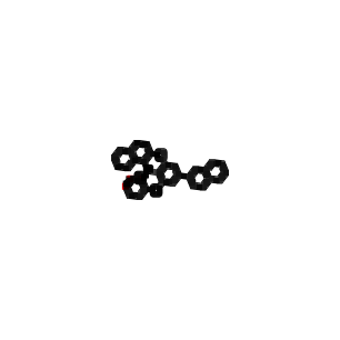 O=P12c3c(cc(-c4ccc5ccccc5c4)cc3Oc3ccc4ccccc4c31)Oc1ccc3ccccc3c12